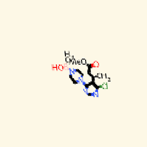 COC(=O)C[C@@H](C)c1c(Cl)ncnc1N1CCN(B(C)O)CC1